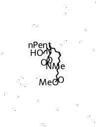 CCCCCC(CC/C=C\CCCCCCCC(=O)OC)N(CCO)CCOC(=O)NC